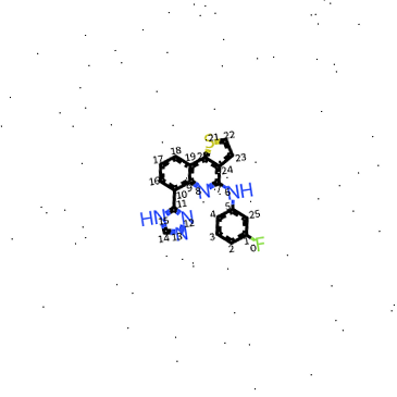 Fc1cccc(Nc2nc3c(-c4nnc[nH]4)cccc3c3sccc23)c1